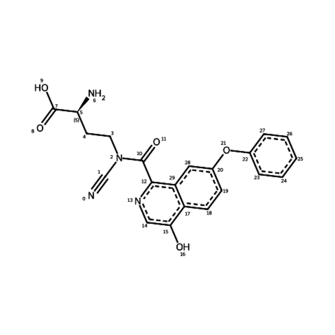 N#CN(CC[C@H](N)C(=O)O)C(=O)c1ncc(O)c2ccc(Oc3ccccc3)cc12